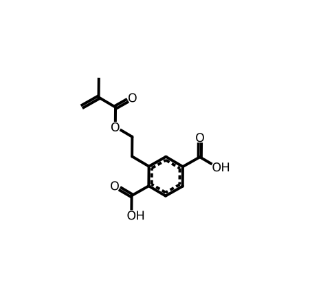 C=C(C)C(=O)OCCc1cc(C(=O)O)ccc1C(=O)O